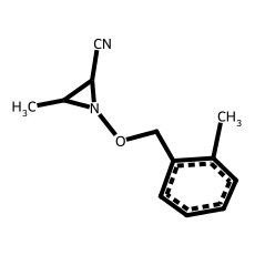 Cc1ccccc1CON1C(C)C1C#N